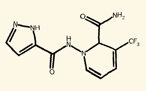 NC(=O)C1C(C(F)(F)F)=CC=CN1NC(=O)c1ccn[nH]1